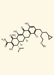 CC(C)OCCN(Cc1cc(O)c2c(c1Cl)C[C@H]1C[C@H]3[C@H](N(C)C)C(O)=C(C(N)=O)C(=O)[C@@]3(O)C(O)=C1C2=O)CC1CC1